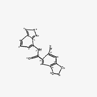 O=C(Nc1cccc2nsnc12)c1cc2c(cc1Br)OCO2